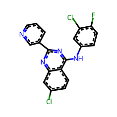 Fc1ccc(Nc2nc(-c3cccnc3)nc3cc(Cl)ccc23)cc1Cl